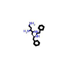 NCCC(N)C(N)C[C@H](Cc1ccccc1)NCCc1ccccc1